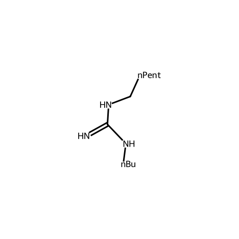 CCCCCCNC(=N)NCCCC